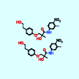 Cc1cc(NC(=O)C(C)(O)COc2ccc(CCO)cc2)ccc1[N+](=O)[O-].Cc1cc(NC(=O)C(C)(O)COc2ccc(CCO)cc2)ccc1[N+](=O)[O-]